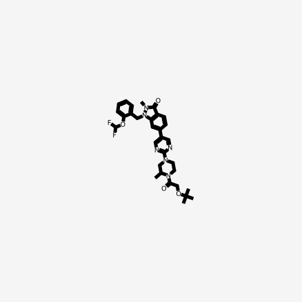 CC1CN(c2ncc(-c3ccc4c(=O)n(C)n(Cc5ccccc5OC(F)F)c4c3)cn2)CCN1C(=O)COC(C)(C)C